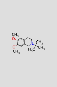 COc1cc2c(cc1OC)CN(C(C)(C)C)CC2